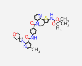 Cc1cnc(N2CC3(CCOCC3)C2)c(C(=O)Nc2ccc(C(=O)N3CCc4cc(NC(=O)OC(C)(C)C)sc4-c4ncccc43)cc2)c1